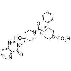 O=C(O)N1CC[C@@H](C(=O)N2CCC(O)(Cn3cnc4cccnc4c3=O)CC2)[C@H](c2ccccc2)C1